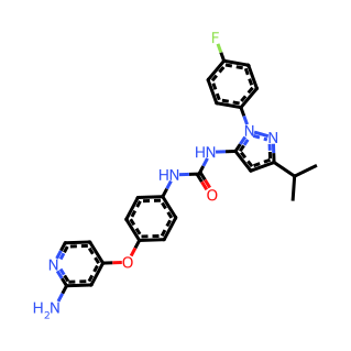 CC(C)c1cc(NC(=O)Nc2ccc(Oc3ccnc(N)c3)cc2)n(-c2ccc(F)cc2)n1